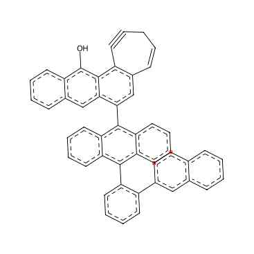 Oc1c2ccccc2cc2c(-c3c4ccccc4c(-c4ccccc4-c4ccc5ccccc5c4)c4ccccc34)cc3c(c12)C#CCC=C3